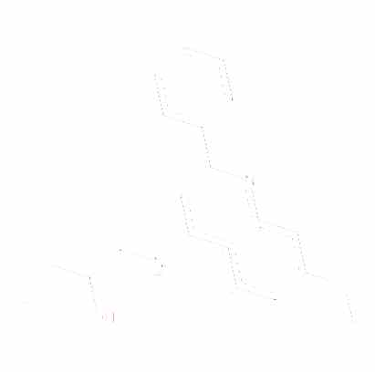 COc1ccc2c(NCC(C)O)cc(-c3ccccc3)nc2c1.Cl